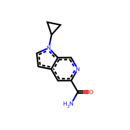 NC(=O)c1cc2ccn(C3CC3)c2cn1